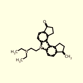 C=C1CCc2c1ccc1c2c2c3c(ccc2n1CCN(CC)CC)C(=O)CC3